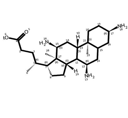 C[C@H](CCC(=O)O)[C@H]1CC[C@H]2C3[C@H](N)CC4C[C@H](N)CC[C@]4(C)[C@H]3C[C@H](N)[C@]12C